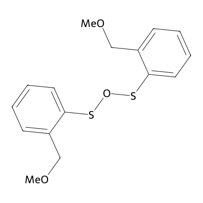 COCc1ccccc1SOSc1ccccc1COC